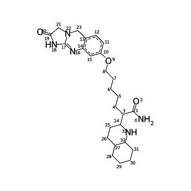 NC(=O)C(CCCCCOc1ccc2c(c1)N=C1NC(=O)CN1C2)C1CCC2CCCCC2N1